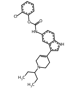 CCC(CC)N1CC=C(c2c[nH]c3ccc(NC(=O)Oc4ccccc4Cl)cc23)CC1